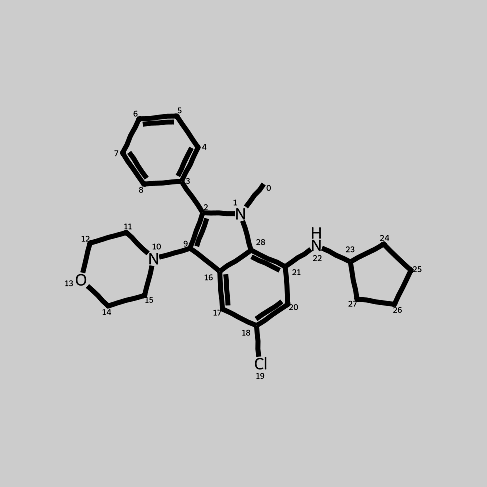 Cn1c(-c2ccccc2)c(N2CCOCC2)c2cc(Cl)cc(NC3CCCC3)c21